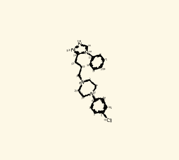 Clc1ccc(N2CCN(CCCc3nncn3-c3ccccc3)CC2)cc1